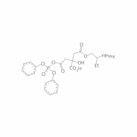 CCCCCCC(CC)COC(=O)CC(O)(CC(=O)OP(=O)(Oc1ccccc1)Oc1ccccc1)C(=O)O